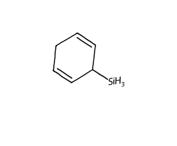 [SiH3]C1C=CCC=C1